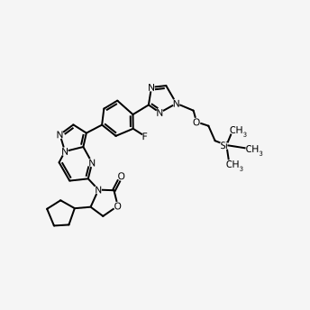 C[Si](C)(C)CCOCn1cnc(-c2ccc(-c3cnn4ccc(N5C(=O)OCC5C5CCCC5)nc34)cc2F)n1